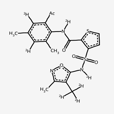 [2H]c1c(C)c([2H])c(C(C)=O)c(N([2H])C(=O)c2sccc2S(=O)(=O)N([2H])c2onc(C)c2C([2H])([2H])[2H])c1C